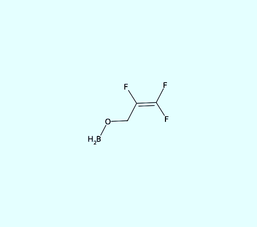 BOCC(F)=C(F)F